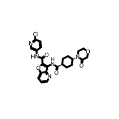 O=C(Nc1ccc(Cl)nc1)c1oc2cccnc2c1NC(=O)[C@H]1CC[C@H](N2CCOCC2=O)CC1